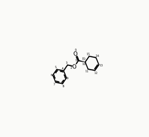 O=C(OCc1ccccc1)[C@@H]1CC=CCC1